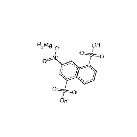 O=[N+]([O-])c1cc(S(=O)(=O)O)c2cccc(S(=O)(=O)O)c2c1.[MgH2]